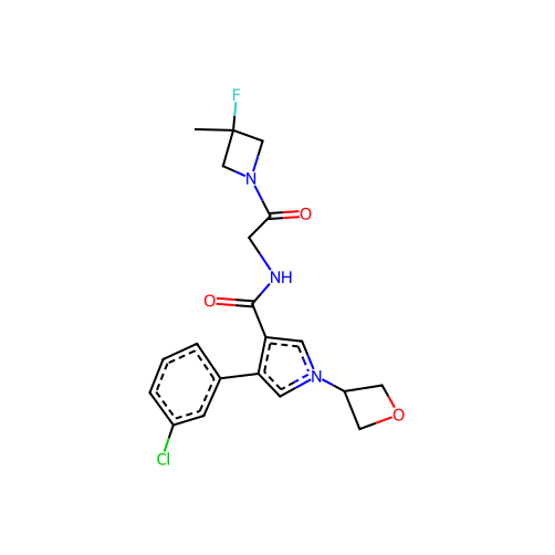 CC1(F)CN(C(=O)CNC(=O)c2cn(C3COC3)cc2-c2cccc(Cl)c2)C1